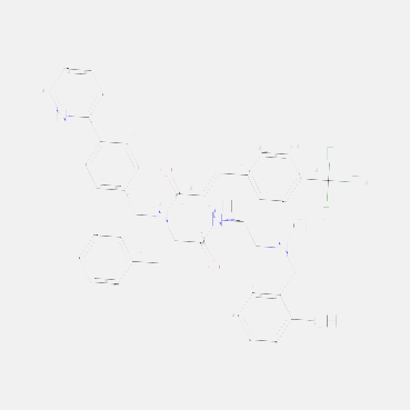 Cc1ccccc1CN(C)CCN(C)C(=O)[C@H](Cc1ccccc1)N(Cc1ccc(-c2ccccn2)cc1)C(=O)C=Cc1ccc(C(F)(F)F)cc1